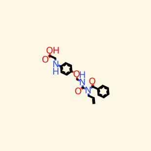 C=CCN(C(=O)NCOc1ccc(NCC(=O)O)cc1)C(=O)c1ccccc1